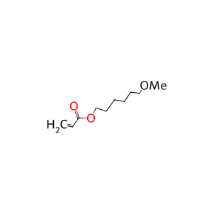 C=CC(=O)OCCCCCCOC